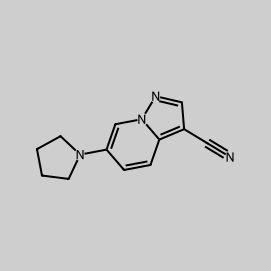 N#Cc1cnn2cc(N3CCCC3)ccc12